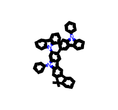 CC1(C)c2ccccc2-c2cc3c4cc(-c5ccc6c(c5)c5ccccc5n6-c5ccccc5)c(-n5c6ccccc6c6ccccc65)cc4n(-c4ccccc4)c3cc21